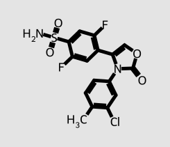 Cc1ccc(-n2c(-c3cc(F)c(S(N)(=O)=O)cc3F)coc2=O)cc1Cl